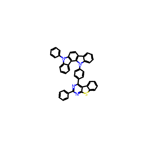 c1ccc(-c2nc(-c3ccc(-n4c5ccccc5c5ccc6c(c7ccccc7n6-c6ccccc6)c54)cc3)c3c(n2)sc2ccccc23)cc1